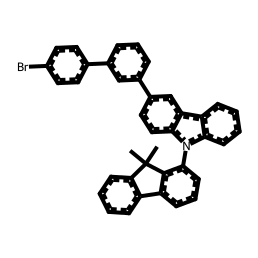 CC1(C)c2ccccc2-c2cccc(-n3c4ccccc4c4cc(-c5cccc(-c6ccc(Br)cc6)c5)ccc43)c21